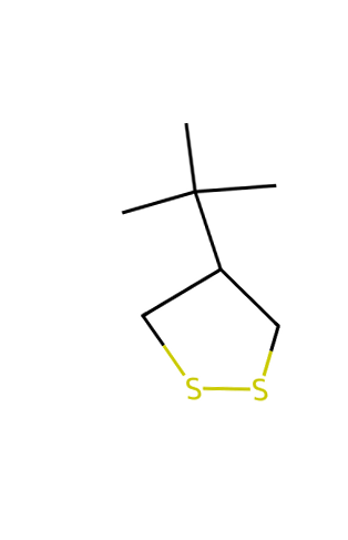 CC(C)(C)C1CSSC1